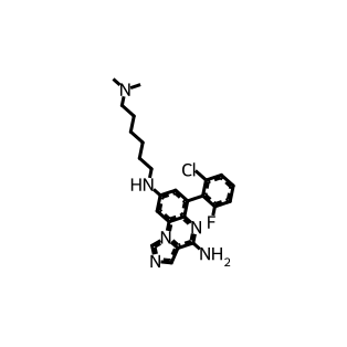 CN(C)CCCCCCNc1cc(-c2c(F)cccc2Cl)c2nc(N)c3cncn3c2c1